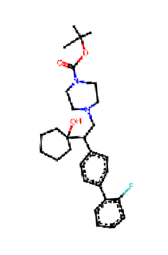 CC(C)(C)OC(=O)N1CCN(CC(c2ccc(-c3ccccc3F)cc2)C2(O)CCCCC2)CC1